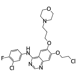 Fc1ccc(Nc2ncnc3cc(OCCCl)c(OCCCN4CCOCC4)cc23)cc1Cl